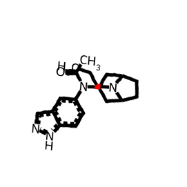 CCCN1C2CCC1CC(N(C(C)=O)c1ccc3[nH]ncc3c1)C2